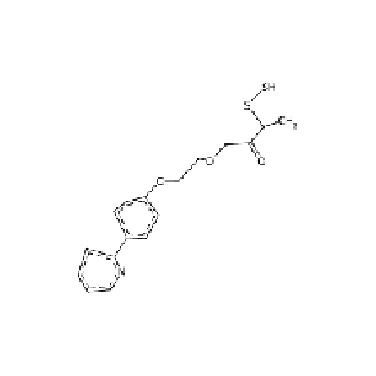 CC(SS)C(=O)COCCOc1ccc(-c2ccccn2)cc1